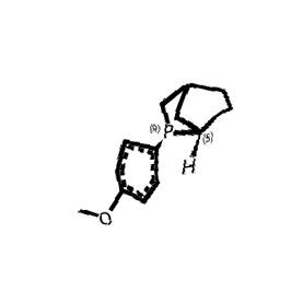 COc1ccc([P@@]2CC3CC[C@H]2C3)cc1